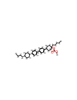 CCCCCC1(OC(=O)OC)CCC(c2ccc(-c3ccc([C@H]4CC[C@H](CCCC)CC4)cc3)cc2)CC1